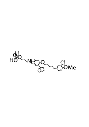 COc1ccc(CCCCCOc2ccc(CNCCCO[PH](=O)O)cc2-c2ccco2)cc1Cl